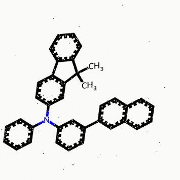 CC1(C)c2ccccc2-c2ccc(N(c3ccccc3)c3cccc(-c4ccc5ccccc5c4)c3)cc21